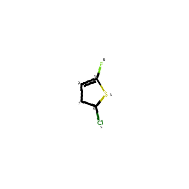 FC1=CCC(Cl)S1